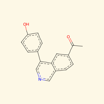 CC(=O)c1ccc2cncc(-c3ccc(O)cc3)c2c1